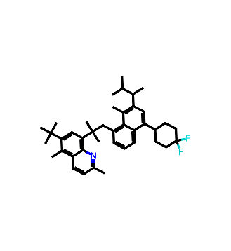 Cc1ccc2c(C)c(C(C)(C)C)cc(C(C)(C)Cc3cccc4c(C5CCC(F)(F)CC5)cc(C(C)C(C)C)c(C)c34)c2n1